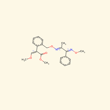 CO/C=C(\C(=O)OC)c1ccccc1CO/N=C(C)/C(=N/OC)c1ccccc1